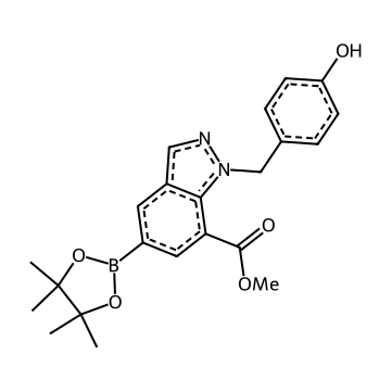 COC(=O)c1cc(B2OC(C)(C)C(C)(C)O2)cc2cnn(Cc3ccc(O)cc3)c12